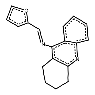 C(=N\c1c2c(nc3ccccc13)CCCC2)/c1ccco1